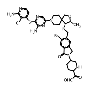 C[C@@H]1OCC2(CCN(c3cnc(Sc4ccnc(N)c4Cl)c(N)n3)CC2)[C@@H]1NCc1cc2c(cc1Br)C(=O)N(C1CCC(C(=O)C=O)NC1)C2